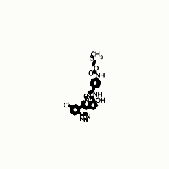 COCCOC(=O)Nc1ccc(-c2cnc(C3(O)CCc4cc(-c5cc(Cl)ccc5-n5cnnn5)c[n+]([O-])c43)[nH]2)cc1